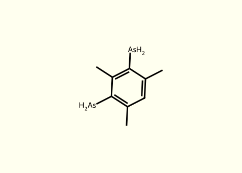 Cc1cc(C)c([AsH2])c(C)c1[AsH2]